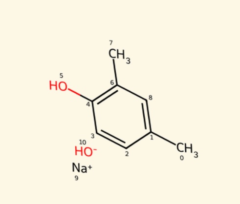 Cc1ccc(O)c(C)c1.[Na+].[OH-]